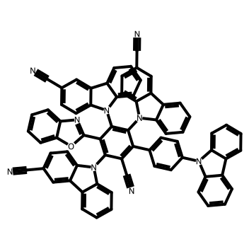 N#Cc1ccc2c(c1)c1ccccc1n2-c1c(C#N)c(-c2ccc(-n3c4ccccc4c4ccccc43)cc2)c(-n2c3ccccc3c3cc(C#N)ccc32)c(-n2c3ccccc3c3cc(C#N)ccc32)c1-c1nc2ccccc2o1